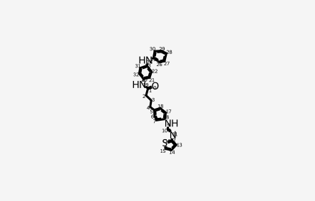 O=C(CCCc1ccc(NC=Nc2cccs2)cc1)Nc1ccc(Nc2ccccc2)cc1